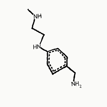 CNCCNc1ccc(CN)cc1